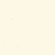 CC[N+](CC)(CC)CC.O=S(=O)(OCCCCCCC(F)F)N1CCNCC1